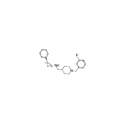 Fc1cccc(CN2CCC(CN[C@@H]3C[C@H]3c3ccccc3)CC2)c1